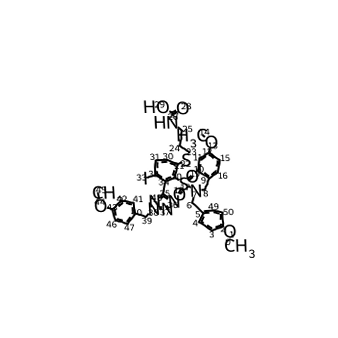 COc1ccc(CN(Cc2ccc(OC)cc2)S(=O)(=O)c2c(SCCCNC(=O)O)ccc(I)c2-c2nnn(Cc3ccc(OC)cc3)n2)cc1